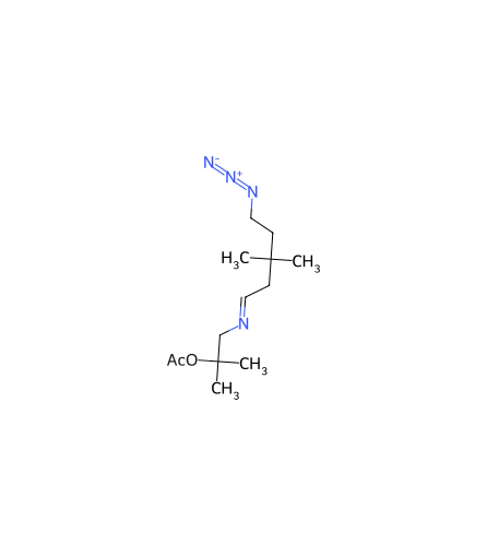 CC(=O)OC(C)(C)CN=CCC(C)(C)CCN=[N+]=[N-]